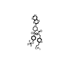 CCCc1ccc(CNC(=O)[C@H]2CN(c3cnc4cncnc4n3)CCN2S(=O)(=O)c2ccc(OC(F)(F)F)cc2)cn1